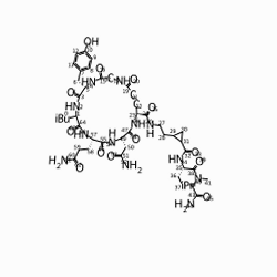 CCC(C)C1NC(=O)[C@H](Cc2ccc(O)cc2)NC(=O)CNC(=O)CC[C@@H](C(=O)NCCC2CC2C(=O)N[C@@H](CC(C)C)C(=O)N(C)CC(N)=O)NC(=O)[C@H](CC(N)=O)NC(=O)[C@H](CCC(N)=O)NC1=O